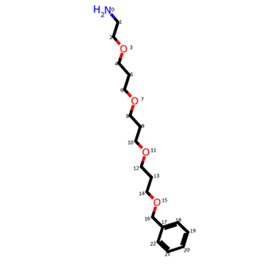 NCCOCCCOCCCOCCCOCc1ccccc1